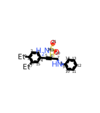 CCc1ccc(C#CCNc2ccccc2)cc1CC.N[SH](=O)=O